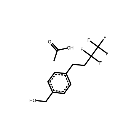 CC(=O)O.OCc1ccc(CCC(F)(F)C(F)(F)F)cc1